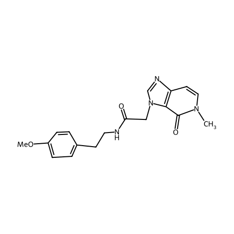 COc1ccc(CCNC(=O)Cn2cnc3ccn(C)c(=O)c32)cc1